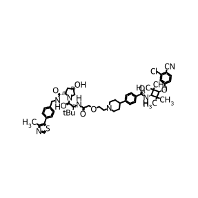 Cc1ncsc1-c1ccc(CNC(=O)[C@@H]2C[C@@H](O)CN2C(=O)[C@@H](NC(=O)COCCN2CCC(c3ccc(C(=O)N[C@H]4C(C)(C)[C@H](Oc5ccc(C#N)c(Cl)c5)C4(C)C)cc3)CC2)C(C)(C)C)cc1